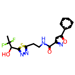 CC(F)(F)C(O)c1nnc(CCNC(=O)c2cc(-c3ccccc3)on2)s1